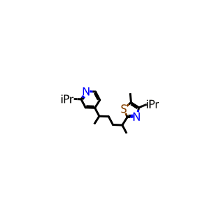 Cc1sc(C(C)CCC(C)c2ccnc(C(C)C)c2)nc1C(C)C